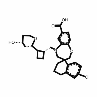 O=C(O)c1ccc2c(c1)N(C[C@@H]1CC[C@H]1[C@@H]1C[C@H](O)CCO1)CC1(CCCc3cc(Cl)ccc31)CO2